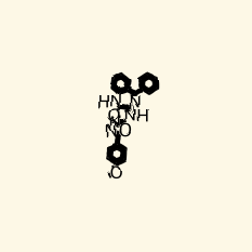 COc1ccc(-c2nnc(N[C@H]3N=C(c4ccccc4)c4ccccc4NC3=O)o2)cc1